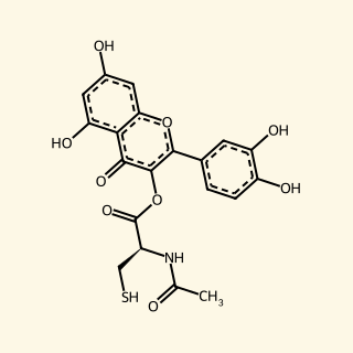 CC(=O)N[C@@H](CS)C(=O)Oc1c(-c2ccc(O)c(O)c2)oc2cc(O)cc(O)c2c1=O